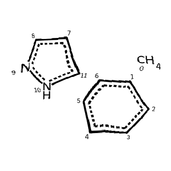 C.c1ccccc1.c1cn[nH]c1